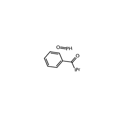 CC(C)C(=O)c1ccccc1.O=P